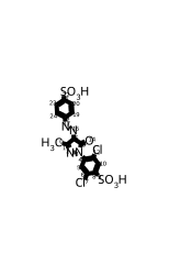 CC1=NN(c2cc(Cl)c(S(=O)(=O)O)cc2Cl)C(=O)C1/N=N/c1ccc(S(=O)(=O)O)cc1